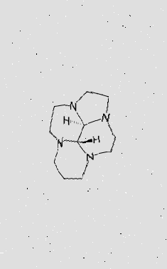 C1CN2CCN3CCN4CCN(C1)[C@H]2[C@@H]34